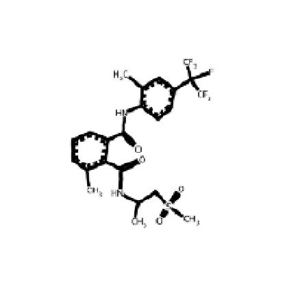 Cc1cc(C(F)(C(F)(F)F)C(F)(F)F)ccc1NC(=O)c1cccc(C)c1C(=O)NC(C)CS(C)(=O)=O